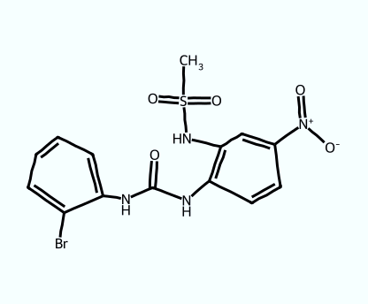 CS(=O)(=O)Nc1cc([N+](=O)[O-])ccc1NC(=O)Nc1ccccc1Br